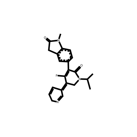 CC(C)N1CC(=C2C=CCN=C2)C(F)=C(c2ccc3c(c2)CC(=O)N3C)C1=O